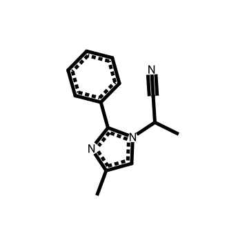 Cc1cn(C(C)C#N)c(-c2ccccc2)n1